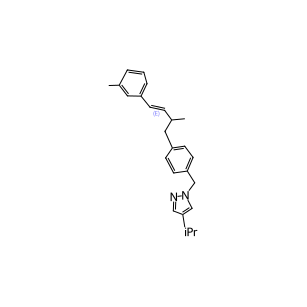 Cc1cccc(/C=C/C(C)Cc2ccc(Cn3cc(C(C)C)cn3)cc2)c1